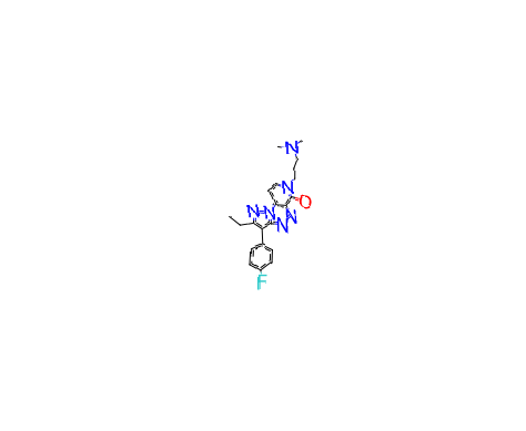 CCc1nn2c(nnc3c(=O)n(CCCN(C)C)ccc32)c1-c1ccc(F)cc1